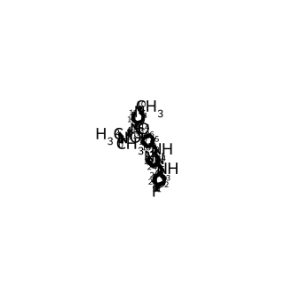 CN(C)CCN(C1CCN(C)CC1)S(=O)(=O)c1ccc(Nc2nccc(Nc3ccc(F)cc3)n2)cc1